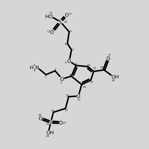 NCCOc1c(OCCCS(=O)(=O)O)cc(C(=O)O)cc1OCCCS(=O)(=O)O